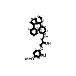 COc1ccc(OCC(O)CNC2CCC(c3ncnc4scc(-c5ccccc5)c34)CC2)c(Cl)c1